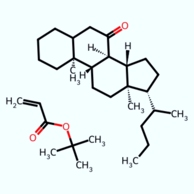 C=CC(=O)OC(C)(C)C.CCCC(C)[C@H]1CC[C@H]2[C@@H]3C(=O)CC4CCCC[C@]4(C)[C@H]3CC[C@]12C